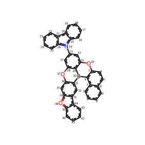 c1ccc2c3c(ccc2c1)Oc1cc(-n2c4ccccc4c4ccccc42)cc2c1B3c1cc3c(cc1O2)oc1ccccc13